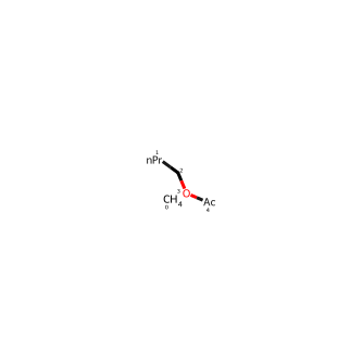 C.CCCCOC(C)=O